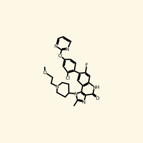 COCCN1CCC(n2c(C)nc3c(=O)[nH]c4cc(F)c(-c5ccc(Oc6ncccn6)cc5Cl)cc4c32)CC1